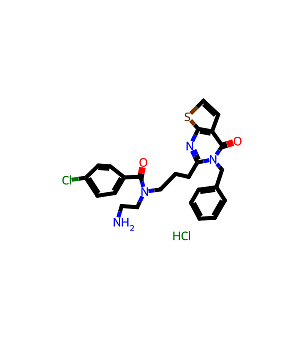 Cl.NCCN(CCCc1nc2sccc2c(=O)n1Cc1ccccc1)C(=O)c1ccc(Cl)cc1